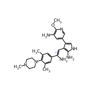 COc1ncc(-c2c[nH]c(N)c2/C=C(\N)c2cc(C)c(N3CCN(C)CC3)c(C)c2)cc1N